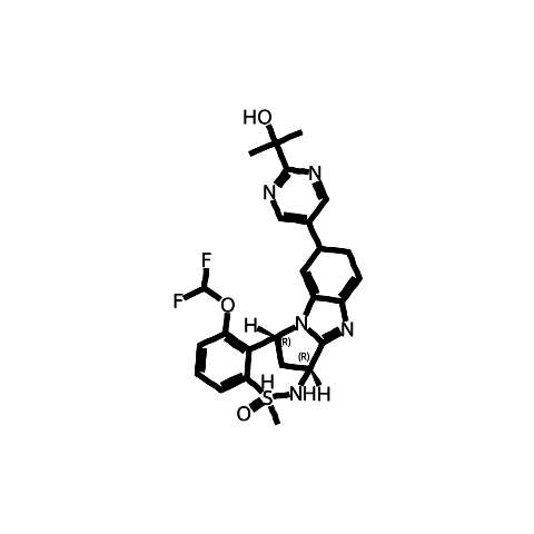 CC(C)(O)c1ncc(C2C=c3c(nc4n3[C@@H]3C[C@H]4N[SH](C)(=O)c4cccc(OC(F)F)c43)=CC2)cn1